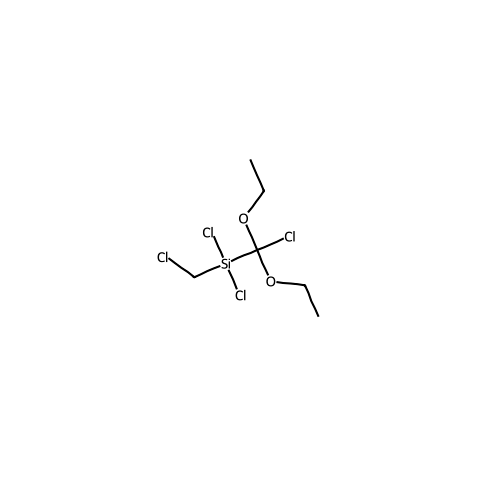 CCOC(Cl)(OCC)[Si](Cl)(Cl)CCl